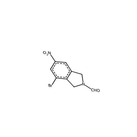 O=CN1Cc2cc([N+](=O)[O-])cc(Br)c2C1